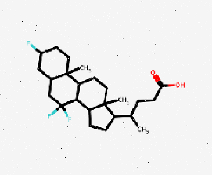 CC(CCC(=O)O)C1CCC2C3C(CCC12C)C1(C)CCC(F)CC1CC3(F)F